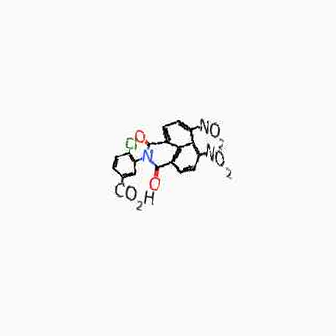 O=C(O)c1ccc(Cl)c(N2C(=O)c3ccc([N+](=O)[O-])c4c([N+](=O)[O-])ccc(c34)C2=O)c1